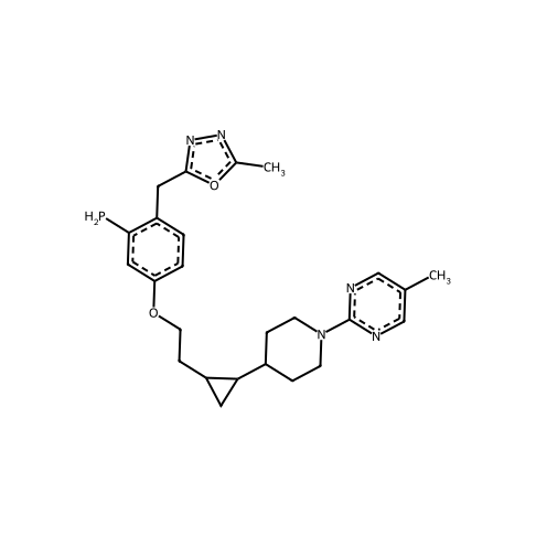 Cc1cnc(N2CCC(C3CC3CCOc3ccc(Cc4nnc(C)o4)c(P)c3)CC2)nc1